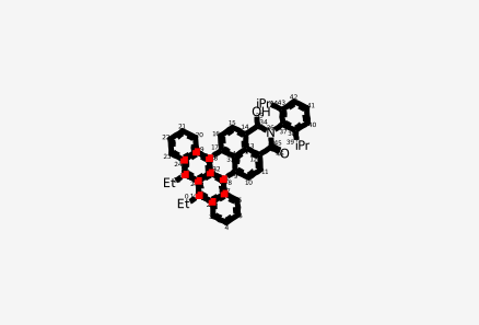 CCN1c2ccccc2N(c2ccc3c4c(ccc(N5c6ccccc6N(CC)c6ccccc65)c24)C(O)N(c2c(C(C)C)cccc2C(C)C)C3=O)c2ccccc21